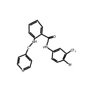 O=C(Nc1ccc(Br)c(C(F)(F)F)c1)c1ccccc1NCc1ccncc1